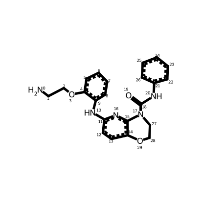 NCCOc1ccccc1Nc1ccc2c(n1)N(C(=O)Nc1ccccc1)CCO2